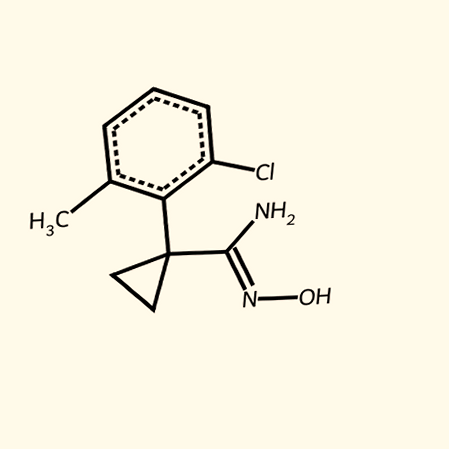 Cc1cccc(Cl)c1C1(C(N)=NO)CC1